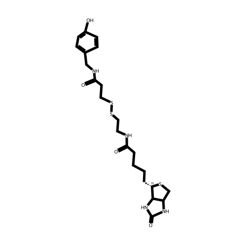 O=C(CCCC[C@@H]1SCC2NC(=O)NC21)NCCSSCCC(=O)NCc1ccc(O)cc1